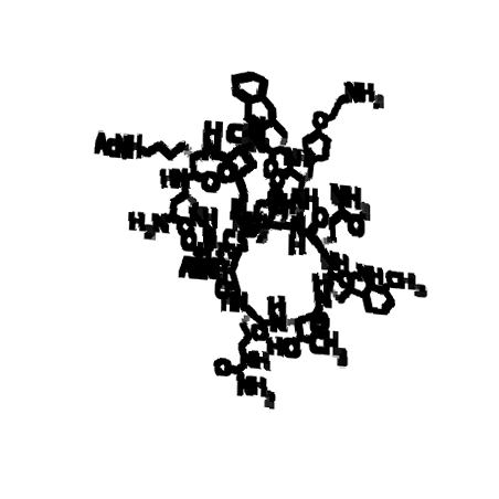 CC(=O)NCCCC[C@H](NC(=O)[C@](C)(CCCCN)NC(=O)[C@H](Cc1ccc2ccccc2c1)NC(=O)[C@H](Cc1ccc(OCCN)cc1)NC(=O)[C@H]1NC(=O)[C@H](CCC(N)=O)NC(=O)[C@H](Cc2c[nH]c3c(C)cccc23)NC(=O)[C@H]([C@@H](C)O)NC(=O)[C@H](CCCNC(N)=O)NC(=O)[C@@H](NC(C)=O)C(C)(C)SSC1(C)C)C(=O)N[C@H](CNCCC(N)=O)CC(N)=O